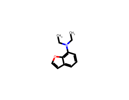 CCN(CC)c1cccc2ccoc12